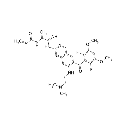 C=CC(=O)NC(=C)C(=N)Nc1ncc2cc(C(=O)c3c(F)c(OC)cc(OC)c3F)c(NCCN(C)C)cc2n1